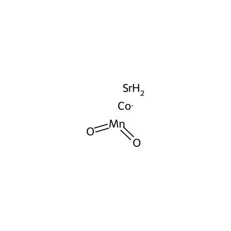 [Co].[O]=[Mn]=[O].[SrH2]